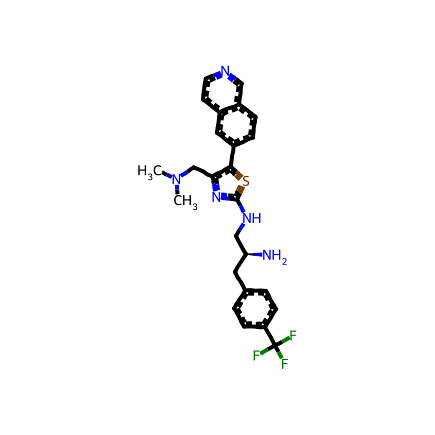 CN(C)Cc1nc(NC[C@@H](N)Cc2ccc(C(F)(F)F)cc2)sc1-c1ccc2cnccc2c1